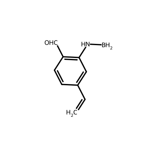 BNc1cc(C=C)ccc1C=O